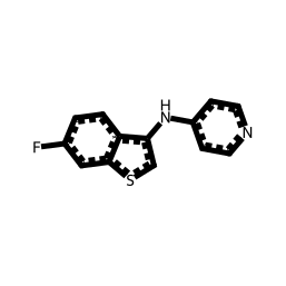 Fc1ccc2c(Nc3ccncc3)csc2c1